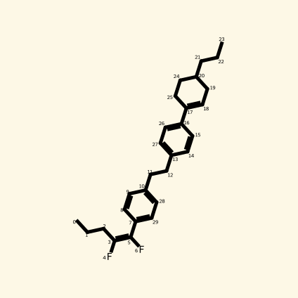 CCC/C(F)=C(/F)c1ccc(CCc2ccc(C3=CCC(CCC)CC3)cc2)cc1